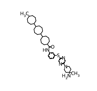 CC1CCCC(C2CCCC(C3CCCC(C(=O)Nc4cccc(Sc5cnc(N6CCC(C)(N)CC6)cn5)c4)CCC3)CCC2)CCC1